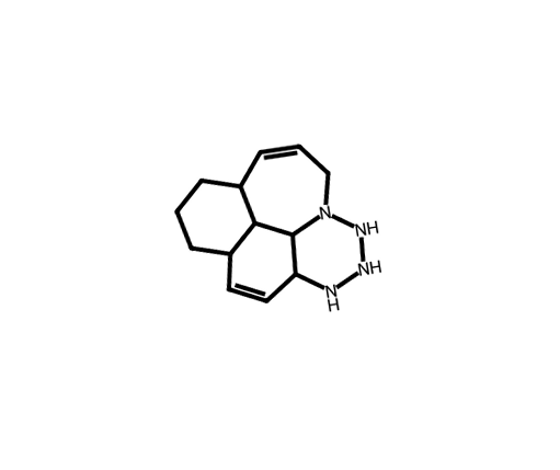 C1=CC2CCCC3C=CC4NNNN(C1)C4C23